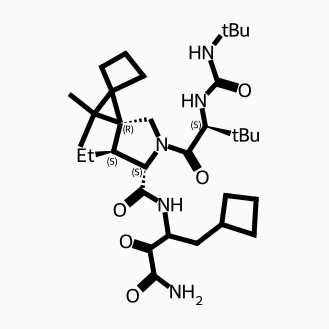 CC[C@@H]1[C@@H](C(=O)NC(CC2CCC2)C(=O)C(N)=O)N(C(=O)[C@@H](NC(=O)NC(C)(C)C)C(C)(C)C)C[C@@]12C(C)(C)C21CCC1